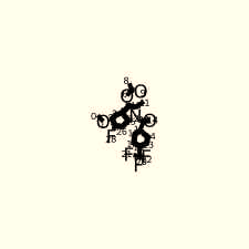 COc1cc2c(OC(C)=O)c(C)n(C(=O)c3ccc(C(F)(F)F)cc3)c2cc1F